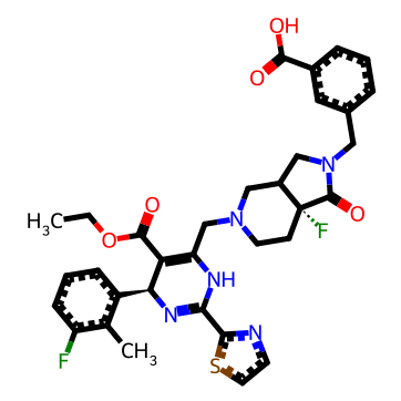 CCOC(=O)C1=C(CN2CC[C@]3(F)C(=O)N(Cc4cccc(C(=O)O)c4)CC3C2)NC(c2nccs2)=N[C@H]1c1cccc(F)c1C